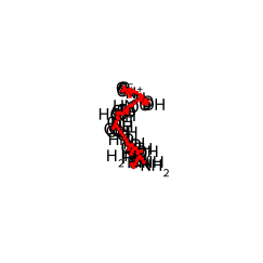 CC[N+]1=C(/C=C/C=C/C=C2\N(CCCCCC(=O)NCCN3C(=O)CC(SC[C@H](NC(=O)CCNC(=O)[C@H](CCC(=O)O)NC(=O)COCCOCCNC(=O)CNC(=O)[C@H](CC(C)C)NC(=O)[C@H](CCCCN)NC(=O)[C@H](CO)NC(=O)[C@H](CCCNC(=N)N)NC(=O)OCc4ccccc4)C(=O)O)C3=O)c3ccc(S(=O)(=O)O)cc3C2(C)C)C(C)(C)c2cc(S(=O)(=O)[O-])ccc21